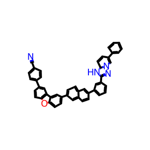 N#Cc1ccc(-c2ccc3oc4ccc(-c5ccc6cc(-c7cccc(C8=NN9C=C(c%10ccccc%10)C=CC9N8)c7)ccc6c5)cc4c3c2)cc1